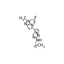 Cc1nc2ccc(-c3ccn4nc(NCC5(C)CC5)ncc34)nc2n1CC(F)F